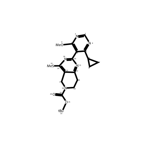 COc1ncnc(C2CC2)c1-c1nc2c(c(SC)n1)CN(C(=O)OC(C)(C)C)CC2